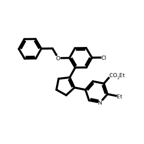 CCOC(=O)c1cc(C2=C(c3cc(Cl)ccc3OCc3ccccc3)CCC2)cnc1CC